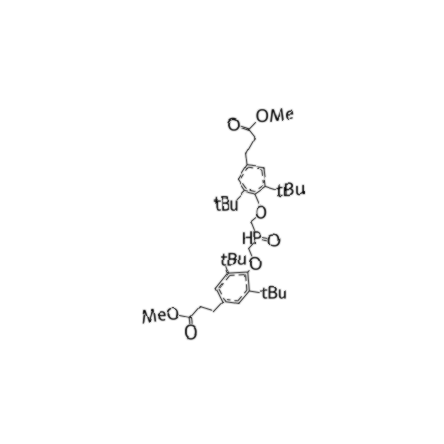 COC(=O)CCc1cc(C(C)(C)C)c(OC[PH](=O)COc2c(C(C)(C)C)cc(CCC(=O)OC)cc2C(C)(C)C)c(C(C)(C)C)c1